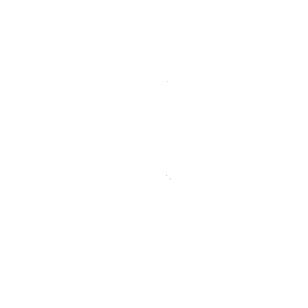 CC(=O)c1ccc(NC(=O)CC(C)C)cc1